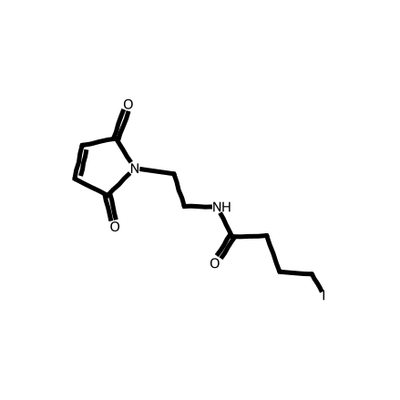 O=C(CCCI)NCCN1C(=O)C=CC1=O